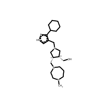 CN1CCCN(C[C@@H]2CN(Cc3c[nH]nc3C3CCCCC3)C[C@@H]2CO)CC1